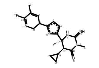 CC1=CC(c2ccc([C@@]3(C)NC(=N)N(C)C(=O)[C@H]3C3CC3)s2)CN=C1F